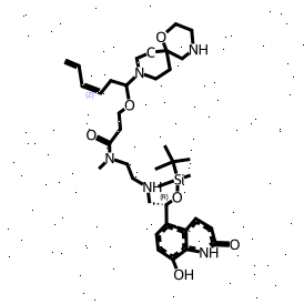 C=C/C=C\CC(OCCC(=O)N(C)CCNC[C@H](O[Si](C)(C)C(C)(C)C)c1ccc(O)c2[nH]c(=O)ccc12)N1CCC2(CC1)CNCCO2